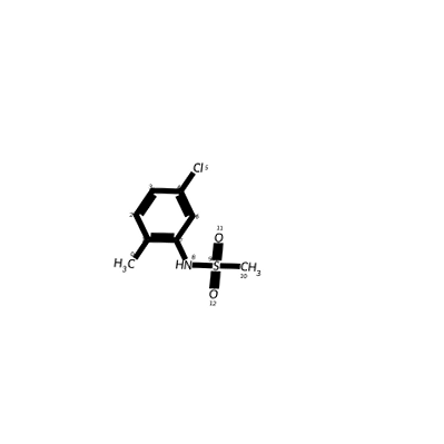 Cc1ccc(Cl)cc1NS(C)(=O)=O